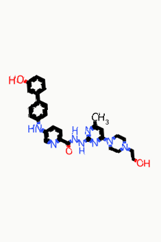 Cc1cc(N2CCN(CCO)CC2)nc(NNC(=O)c2ccc(Nc3ccc(-c4cccc(O)c4)cc3)cn2)n1